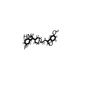 COc1ccc2occ(CCN3CC=C(c4c[nH]c5ccc(F)cc45)CC3)c2c1